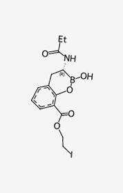 CCC(=O)N[C@H]1Cc2cccc(C(=O)OCCI)c2OB1O